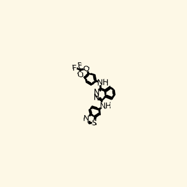 FC1(F)Oc2ccc(Nc3nnc(Nc4ccc5ncsc5c4)c4ccccc34)cc2O1